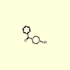 CCCN1CCN(C(=O)c2ccccc2)CC1